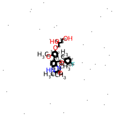 COc1cc(OCC(O)CCO)ccc1-c1ccc2c(c1COc1cc(F)ccc1C)N(C)C(=O)C(C)(C)N2